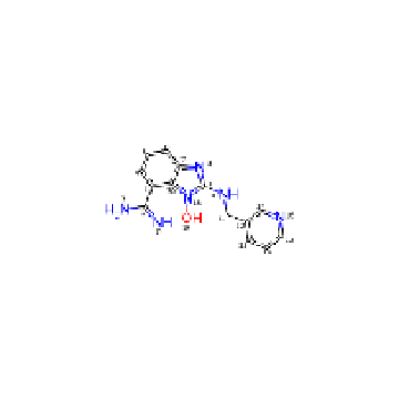 N=C(N)c1cccc2nc(NCc3cccnc3)n(O)c12